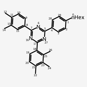 CCCCCCc1ccc(-c2nc(-c3ccc(C)c(C)c3)nc(-c3ccc(C)c(C)c3C)n2)cc1